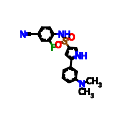 CN(C)c1cccc(-c2cc(S(=O)(=O)Nc3ccc(C#N)cc3F)c[nH]2)c1